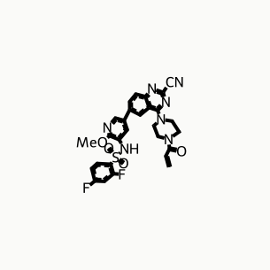 C=CC(=O)N1CCN(c2nc(C#N)nc3ccc(-c4cnc(OC)c(NS(=O)(=O)c5ccc(F)cc5F)c4)cc23)CC1